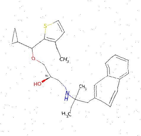 Cc1ccsc1C(OC[C@H](O)CNC(C)(C)Cc1ccc2ccccc2c1)C1CC1